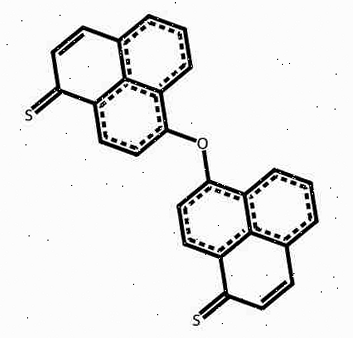 S=C1C=Cc2cccc3c(Oc4ccc5c6c(cccc46)C=CC5=S)ccc1c23